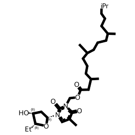 CC[C@H]1O[C@@H](n2cc(C)c(=O)n(COC(=O)CC(C)CCCC(C)CCCC(C)CCCC(C)C)c2=O)C[C@H]1O